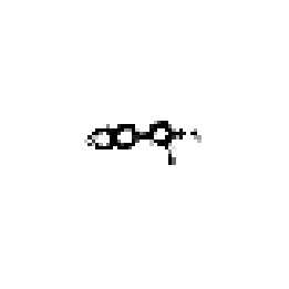 COc1nc(C2CCC3(CCOCC3)CC2)ccc1N